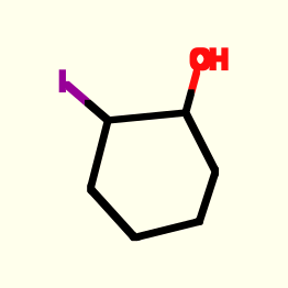 OC1CCCCC1I